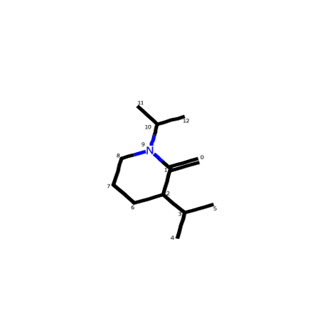 C=C1C(C(C)C)CCCN1C(C)C